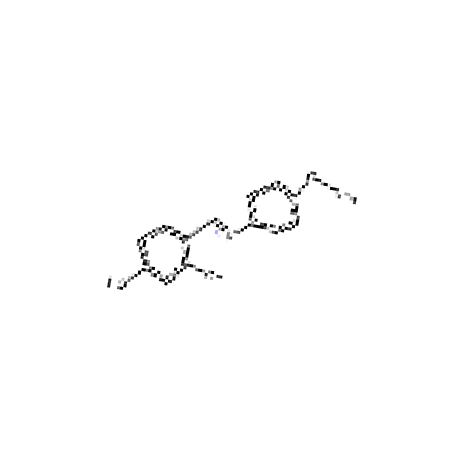 COc1ccc(/N=C/c2ccc(O)cc2O)cc1